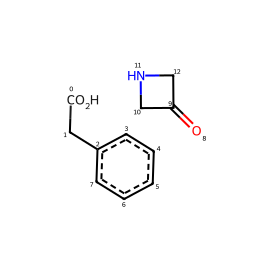 O=C(O)Cc1ccccc1.O=C1CNC1